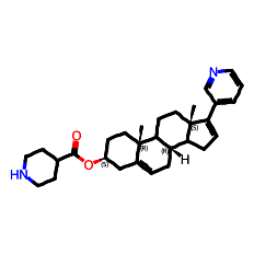 C[C@]12CC[C@H](OC(=O)C3CCNCC3)CC1=CC[C@@H]1C2CC[C@]2(C)C(c3cccnc3)=CCC12